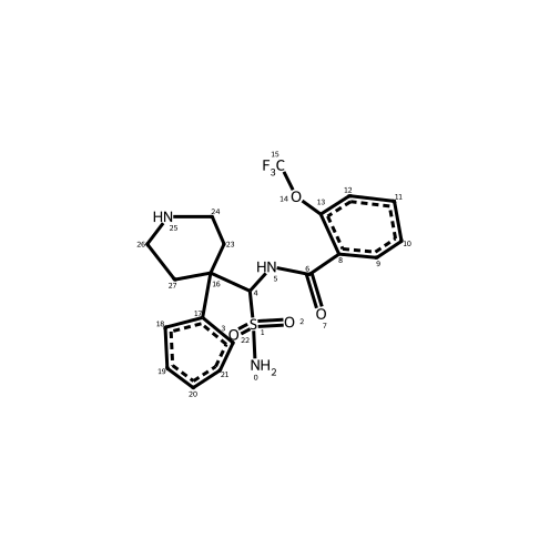 NS(=O)(=O)C(NC(=O)c1ccccc1OC(F)(F)F)C1(c2ccccc2)CCNCC1